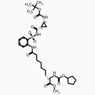 COC(=O)[C@H](CCCCCCC(=O)Nc1ccccc1S(=O)(=O)NC(=O)[C@H]1C[C@H]1NC(=O)OC(C)(C)C)NC(=O)OC1CCCC1